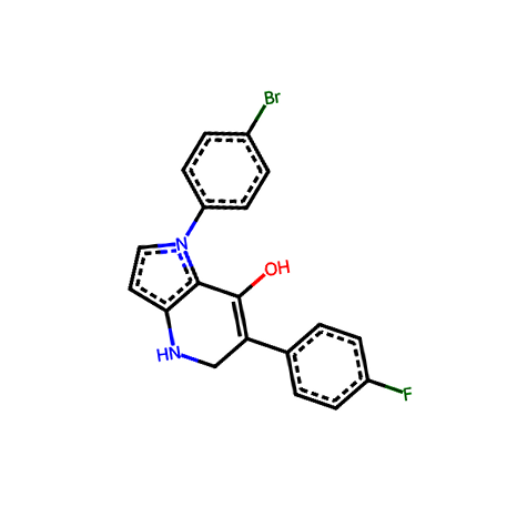 OC1=C(c2ccc(F)cc2)CNc2ccn(-c3ccc(Br)cc3)c21